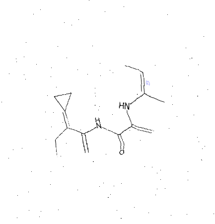 C=C(N/C(C)=C\C)C(=O)NC(=C)C(CC)=C1CC1